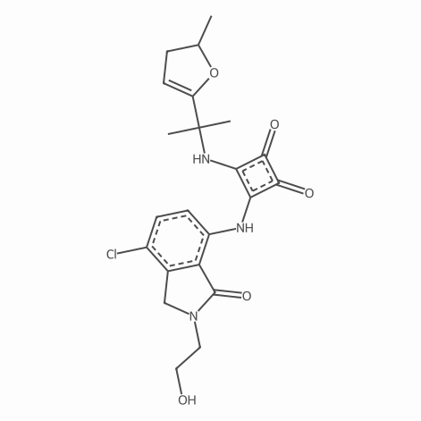 CC1CC=C(C(C)(C)Nc2c(Nc3ccc(Cl)c4c3C(=O)N(CCO)C4)c(=O)c2=O)O1